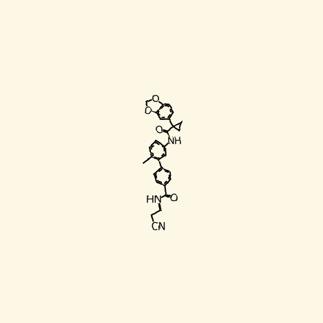 Cc1ccc(NC(=O)C2(c3ccc4c(c3)OCO4)CC2)cc1-c1ccc(C(=O)NCCC#N)cc1